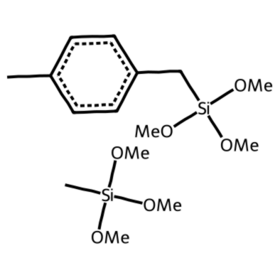 CO[Si](C)(OC)OC.CO[Si](Cc1ccc(C)cc1)(OC)OC